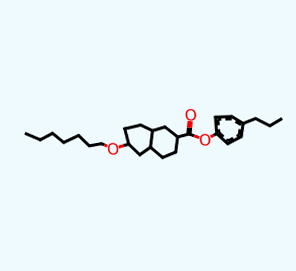 CCCCCCCOC1CCC2CC(C(=O)Oc3ccc(CCC)cc3)CCC2C1